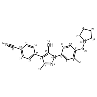 Cc1cc(-n2nc(C)c(-c3ccc(C#N)cc3)c2O)ncc1SN1CCCC1